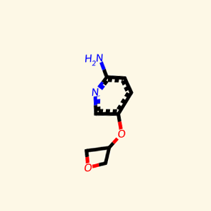 Nc1ccc(OC2COC2)cn1